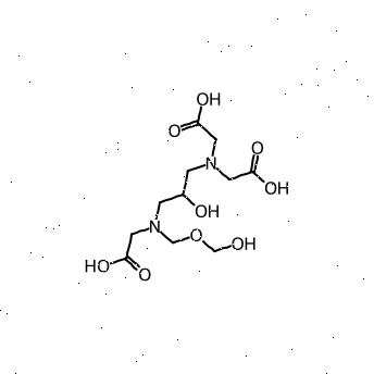 O=C(O)CN(COCO)CC(O)CN(CC(=O)O)CC(=O)O